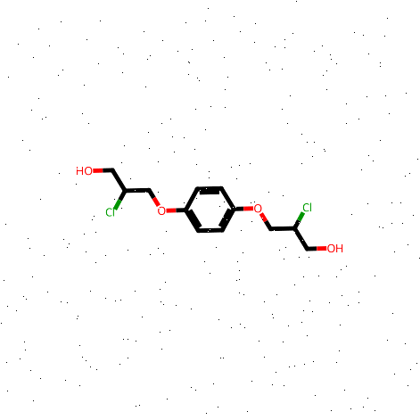 OCC(Cl)COc1ccc(OCC(Cl)CO)cc1